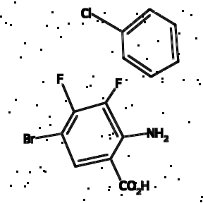 Clc1ccccc1.Nc1c(C(=O)O)cc(Br)c(F)c1F